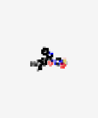 Cc1cc(-c2c(C(=O)N3CCN(S(C)(=O)=O)CC3)cnc3ccccc23)ccc1C1(C#N)CC1